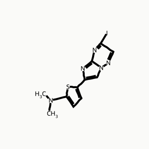 CN(C)c1ccc(-c2cn3ncc(I)nc3n2)s1